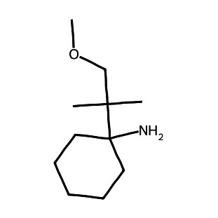 COCC(C)(C)C1(N)CCCCC1